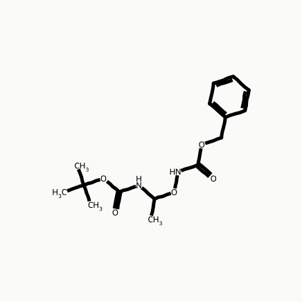 C[C](NC(=O)OC(C)(C)C)ONC(=O)OCc1ccccc1